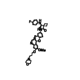 COc1cc2c(Oc3ccc(NC(=O)C4(C(=O)Nc5ccc(F)cc5)CCC4)cc3F)ncnc2cc1OCCCN1CCOCC1